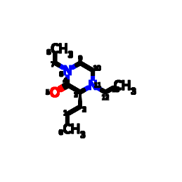 CCC[C@H]1C(=O)N(CC)CCN1CC